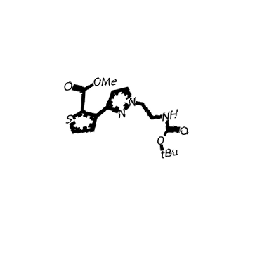 COC(=O)c1sccc1-c1ccn(CCNC(=O)OC(C)(C)C)n1